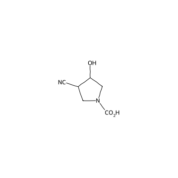 N#CC1CN(C(=O)O)CC1O